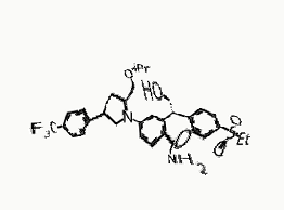 CCS(=O)(=O)c1ccc([C@@H](CO)c2cc(N3CC(c4ccc(C(F)(F)F)cc4)C[C@H]3COC(C)C)ccc2C(N)=O)cc1